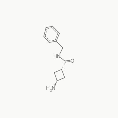 N[C@H]1C[C@H](C(=O)NCc2ccccc2)C1